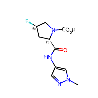 Cn1cc(NC(=O)[C@@H]2C[C@@H](F)CN2C(=O)O)cn1